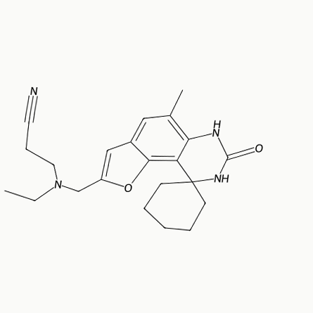 CCN(CCC#N)Cc1cc2cc(C)c3c(c2o1)C1(CCCCC1)NC(=O)N3